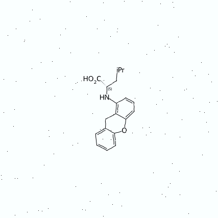 CC(C)C[C@H](Nc1cccc2c1Cc1ccccc1O2)C(=O)O